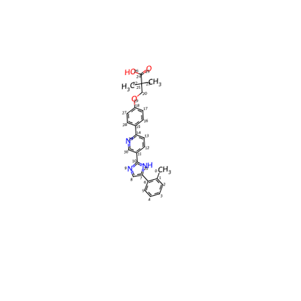 Cc1ccccc1-c1cnc(-c2ccc(-c3ccc(OCC(C)(C)C(=O)O)cc3)nc2)[nH]1